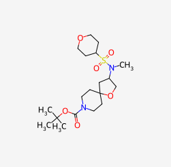 CN(C1COC2(CCN(C(=O)OC(C)(C)C)CC2)C1)S(=O)(=O)C1CCOCC1